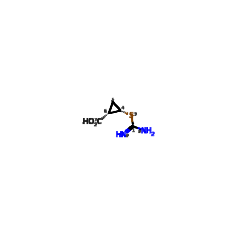 N=C(N)S[C@H]1C[C@H]1C(=O)O